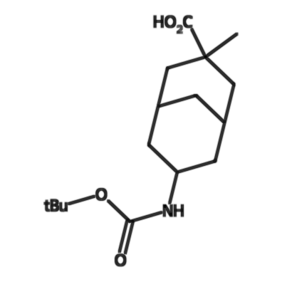 CC(C)(C)OC(=O)NC1CC2CC(C1)CC(C)(C(=O)O)C2